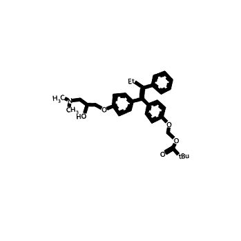 CCC(=C(c1ccc(OCOC(=O)C(C)(C)C)cc1)c1ccc(OCC(O)CN(C)C)cc1)c1ccccc1